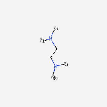 CCCN(CC)CCN(CC)CC